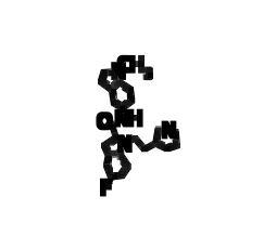 Cn1ccc2cc(NC(=O)c3cc4cc(F)ccc4n3CCc3cccnc3)ccc21